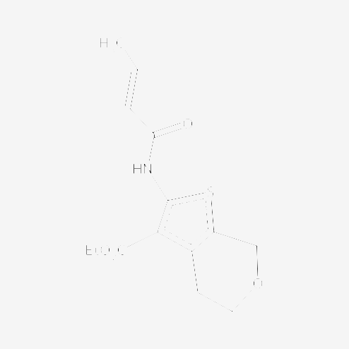 C/C=C/C(=O)Nc1sc2c(c1C(=O)OCC)CCOC2